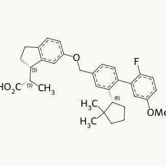 COc1ccc(F)c(-c2ccc(COc3ccc4c(c3)[C@H]([C@H](C)C(=O)O)CC4)cc2[C@@H]2CCCC2(C)C)c1